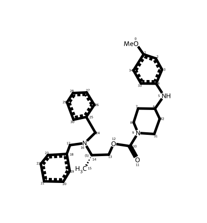 COc1ccc(NC2CCN(C(=O)OC[C@H](C)N(Cc3ccccc3)Cc3ccccc3)CC2)cc1